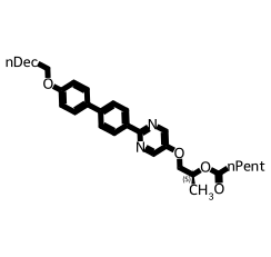 CCCCCCCCCCCOc1ccc(-c2ccc(-c3ncc(OC[C@H](C)OC(=O)CCCCC)cn3)cc2)cc1